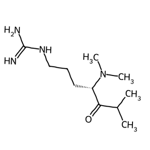 CC(C)C(=O)[C@H](CCCNC(=N)N)N(C)C